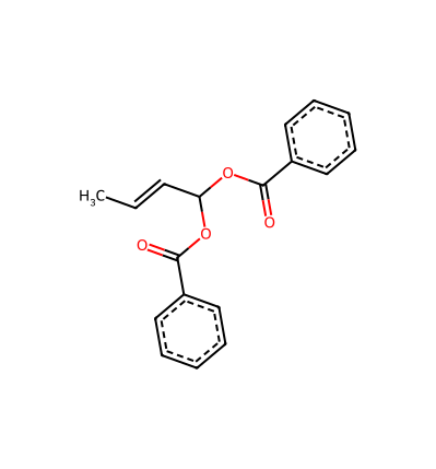 CC=CC(OC(=O)c1ccccc1)OC(=O)c1ccccc1